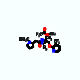 CC(C)(C)OC(=O)C(F)(F)F.CC(C)(COc1ncccc1C(F)(F)F)NC(=O)CC1CCCN1C(=O)O